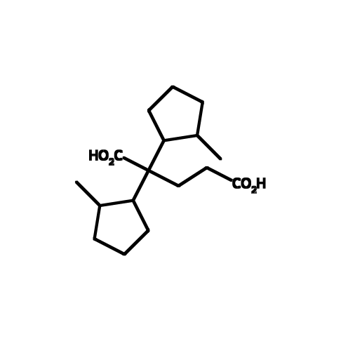 CC1CCCC1C(CCC(=O)O)(C(=O)O)C1CCCC1C